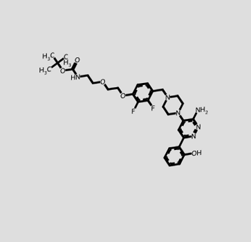 CC(C)(C)OC(=O)NCCOCCOc1ccc(CN2CCN(c3cc(-c4ccccc4O)nnc3N)CC2)c(F)c1F